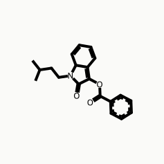 CC(C)CCN1C(=O)C(OC(=O)c2ccccc2)=C2C=CC=CC21